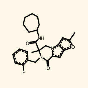 Cc1cc2c(cc3n2CC(C)(C(=O)NC2CCCCCC2)N(Cc2ccccc2F)C3=O)o1